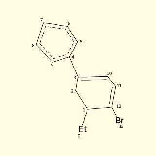 CC[C]1CC(c2ccccc2)=CC=C1Br